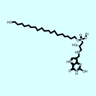 CCOP(=O)(C[C@@H](O)CNCc1c[nH]c2c(=O)[nH]c(O)nc12)OCCCCCCCCCCCCCCCCCCCO